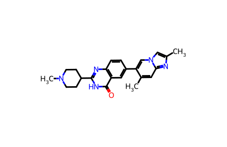 Cc1cn2cc(-c3ccc4nc(C5CCN(C)CC5)[nH]c(=O)c4c3)c(C)cc2n1